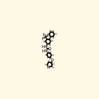 O=C(Nc1ccc(Oc2ccncc2)cc1)Nc1ccc(-c2ccccc2)c(C(F)(F)F)c1